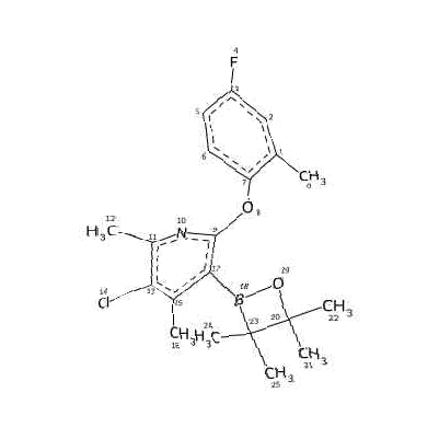 Cc1cc(F)ccc1Oc1nc(C)c(Cl)c(C)c1B1OC(C)(C)C1(C)C